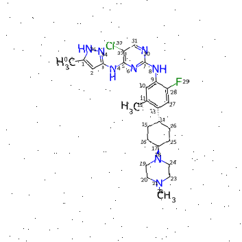 Cc1cc(Nc2nc(Nc3cc(C)c([C@H]4CC[C@H](N5CCN(C)CC5)CC4)cc3F)ncc2Cl)n[nH]1